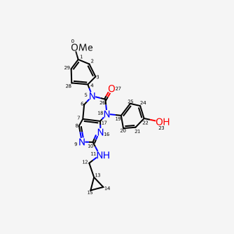 COc1ccc(N2Cc3cnc(NCC4CC4)nc3N(c3ccc(O)cc3)C2=O)cc1